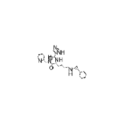 O=C(NC(CCCCNC1CC1c1ccccc1)C(=O)NCc1ccccn1)c1cnc[nH]1